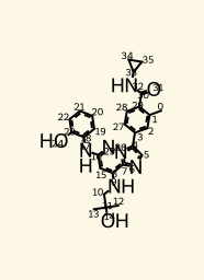 Cc1cc(-c2cnc3c(NCC(C)(C)O)cc(Nc4ccccc4O)nn23)ccc1C(=O)NC1CC1